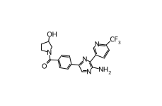 Nc1ncc(-c2ccc(C(=O)N3CCC(O)C3)cc2)nc1-c1ccc(C(F)(F)F)nc1